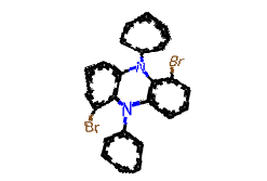 Brc1cccc2c1N(c1ccccc1)c1cccc(Br)c1N2c1ccccc1